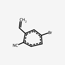 C=Cc1cc(Br)ccc1C#N